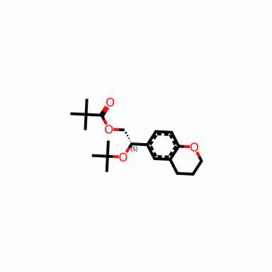 CC(C)(C)O[C@H](COC(=O)C(C)(C)C)c1ccc2c(c1)CCCO2